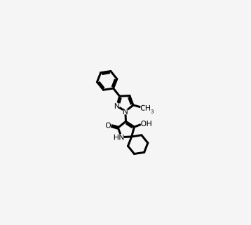 Cc1cc(-c2ccccc2)nn1C1=C(O)C2(CCCCC2)NC1=O